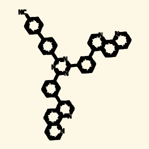 N#Cc1ccc(-c2ccc(-c3nc(-c4cccc(-c5ccnc6c5ccc5cccnc56)c4)nc(-c4cccc(-c5ccnc6c5ccc5cccnc56)c4)n3)cc2)cc1